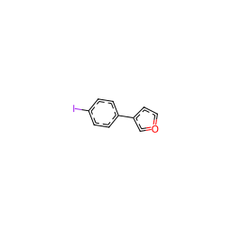 Ic1ccc(-c2ccoc2)cc1